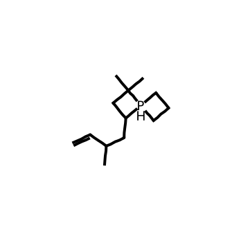 C=CC(C)CC1CC(C)(C)[PH]12CCC2